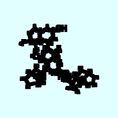 C#Cc1c(F)ccc2cc(O)cc(-c3ccc4c(N5CC6CCC(C5)N6)nc(OCC5(CN6C7CCC6CC(N)C7)CC5)nc4c3F)c12